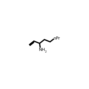 C=CC(N)CCCCC